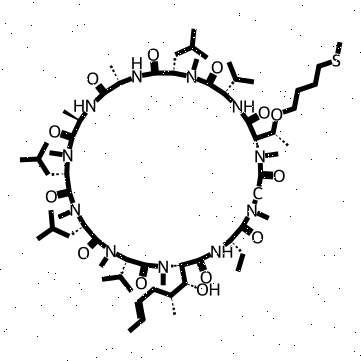 C/C=C/C[C@@H](C)[C@@H](O)[C@H]1C(=O)N[C@@H](CC)C(=O)N(C)CC(=O)N(C)[C@@H]([C@@H](C)OCCCCSC)C(=O)N[C@@H](C(C)C)C(=O)N(C)[C@@H](CC(C)C)C(=O)N[C@@H](C)C(=O)N[C@H](C)C(=O)N(C)[C@@H](CC(C)C)C(=O)N(C)[C@@H](CC(C)C)C(=O)N(C)[C@@H](C(C)C)C(=O)N1C